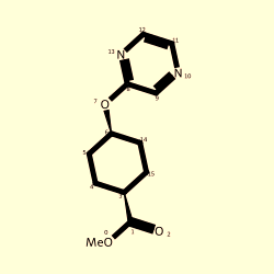 COC(=O)[C@H]1CC[C@@H](Oc2cnccn2)CC1